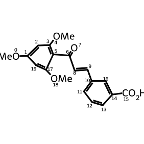 COc1cc(OC)c(C(=O)C=Cc2cccc(C(=O)O)c2)c(OC)c1